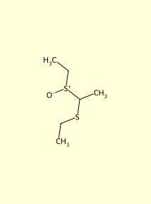 CCSC(C)[S+]([O-])CC